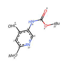 COc1cc(C=O)c(NC(=O)OC(C)(C)C)cn1